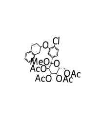 COC1(c2ccc(Cl)c(OC3CCc4ccccc4C3)c2)O[C@H](COC(C)=O)[C@@H](OC(C)=O)[C@H](OC(C)=O)[C@H]1OC(C)=O